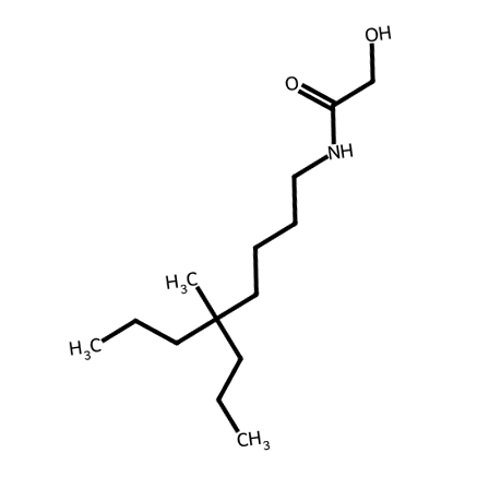 CCCC(C)(CCC)CCCCNC(=O)CO